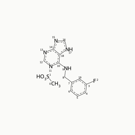 CS(=O)(=O)O.Fc1cccc(CNc2ncnc3nc[nH]c23)c1